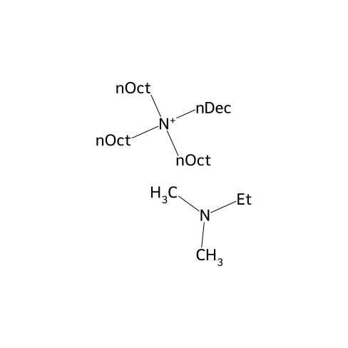 CCCCCCCCCC[N+](CCCCCCCC)(CCCCCCCC)CCCCCCCC.CCN(C)C